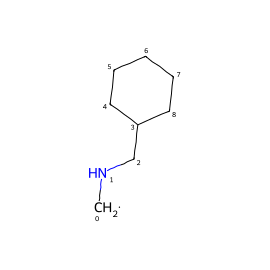 [CH2]NCC1CCCCC1